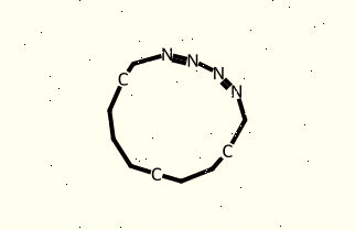 C1CCCCCN=NN=NCCCC1